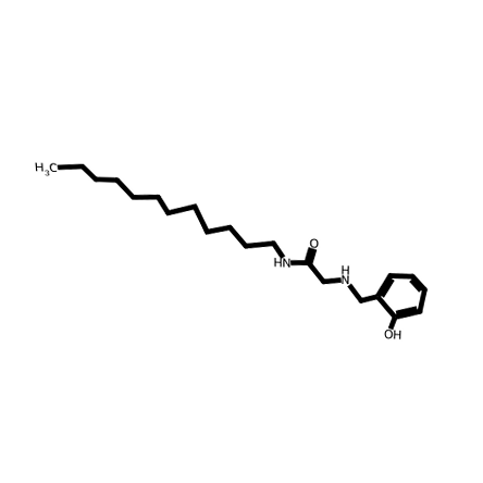 CCCCCCCCCCCCNC(=O)CNCc1ccccc1O